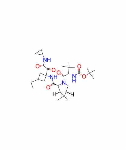 CCC1CC(NC(=O)[C@@H]2[C@@H]3[C@H](CN2C(=O)[C@@H](NC(=O)OC(C)(C)C)C(C)(C)C)C3(C)C)(C(=O)C(=O)NC2CC2)C1